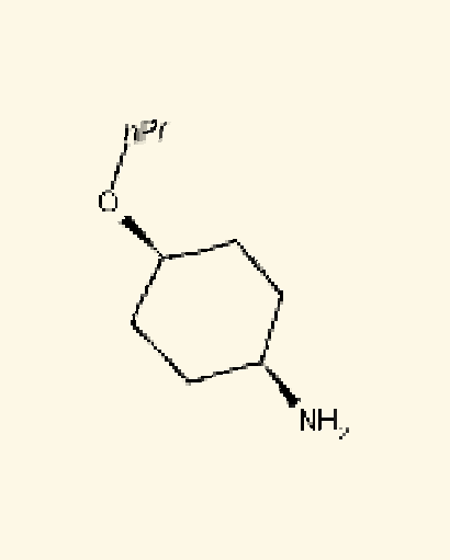 CCCO[C@H]1CC[C@@H](N)CC1